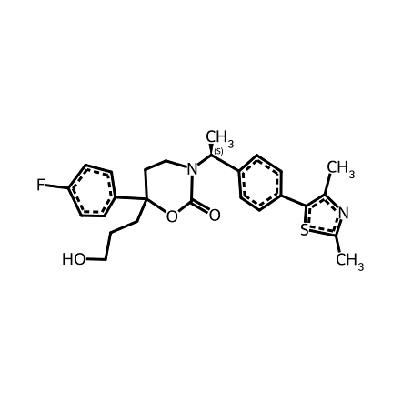 Cc1nc(C)c(-c2ccc([C@H](C)N3CCC(CCCO)(c4ccc(F)cc4)OC3=O)cc2)s1